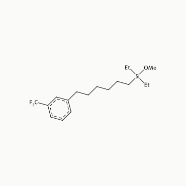 CC[Si](CC)(CCCCCCc1cccc(C(F)(F)F)c1)OC